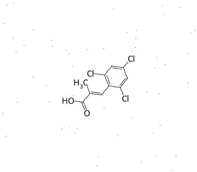 CC(=Cc1c(Cl)cc(Cl)cc1Cl)C(=O)O